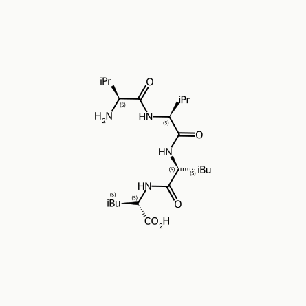 CC[C@H](C)[C@H](NC(=O)[C@@H](NC(=O)[C@@H](NC(=O)[C@@H](N)C(C)C)C(C)C)[C@@H](C)CC)C(=O)O